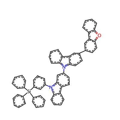 c1ccc([Si](c2ccccc2)(c2ccccc2)c2cccc(-n3c4ccccc4c4ccc(-n5c6ccccc6c6cc(-c7ccc8oc9ccccc9c8c7)ccc65)cc43)c2)cc1